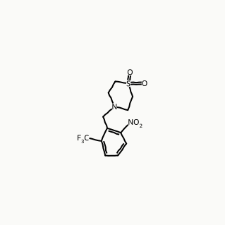 O=[N+]([O-])c1cccc(C(F)(F)F)c1CN1CCS(=O)(=O)CC1